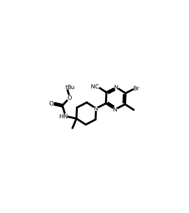 Cc1nc(N2CCC(C)(NC(=O)OC(C)(C)C)CC2)c(C#N)nc1Br